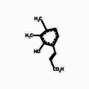 Cc1ccc(C=CC(=O)O)c(O)c1C